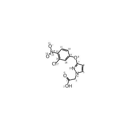 O=C(O)Cn1ccc(Oc2ccc([N+](=O)[O-])c(Cl)c2)n1